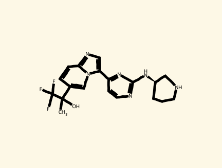 CC(O)(c1ccc2ncc(-c3ccnc(N[C@@H]4CCCNC4)n3)n2c1)C(F)(F)F